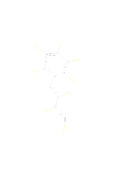 F/C=C(F)/C(F)=C/c1c(F)c(F)c(F)c(F)c1F